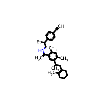 C#Cc1ccc(C(CC)CNC(=C)c2cc(C(C)CC3=C(C)CCCC3)c(C)cc2C)cc1